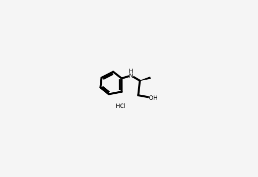 C[C@@H](CO)Nc1ccccc1.Cl